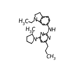 CCCc1cc(N2CCC[C@H]2C)nc(Nc2ccc3c(c2)N(CC)CC3)n1